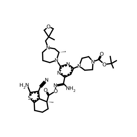 C[C@H]1CN(CC2(C)COC2)CCCN1c1nc(/C(N)=N/OC(=O)[C@@]2(C)CCCc3sc(N)c(C#N)c32)cc(N2CCN(C(=O)OC(C)(C)C)CC2)n1